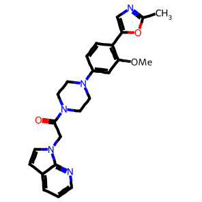 COc1cc(N2CCN(C(=O)Cn3ccc4cccnc43)CC2)ccc1-c1cnc(C)o1